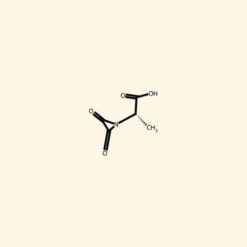 C[C@@H](C(=O)O)n1c(=O)c1=O